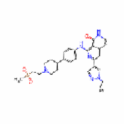 CC(C)Cn1cc(-c2cc3cc[nH]c(=O)c3c(Nc3ccc(C4CCN(CCS(C)(=O)=O)CC4)cc3)n2)cn1